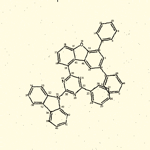 c1ccc(-c2cc(-c3ccccc3)c3oc4cccc(-c5nc(-c6ccccc6)nc(-n6c7ccccc7c7ccccc76)n5)c4c3c2)cc1